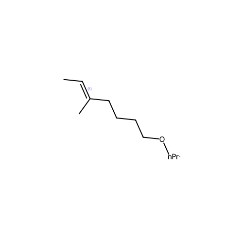 C/C=C(\C)CCCCO[CH]CC